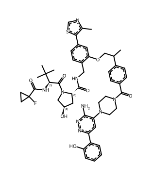 Cc1ncsc1-c1ccc(CNC(=O)[C@@H]2C[C@@H](O)CN2C(=O)[C@@H](NC(=O)C2(F)CC2)C(C)(C)C)c(OCC(C)c2ccc(C(=O)N3CCN(c4cc(-c5ccccc5O)nnc4N)CC3)cc2)c1